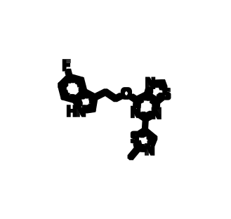 Cc1ncc(-c2nc(OCCc3c[nH]c4ccc(F)cc34)c3ncsc3n2)s1